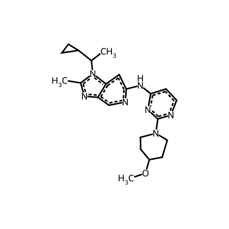 COC1CCN(c2nccc(Nc3cc4c(cn3)nc(C)n4C(C)C3CC3)n2)CC1